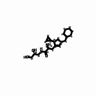 NC(CC1=CN(CC2CCCCC2)CN1C1CC1)C(=O)NC[C@@H](O)CO